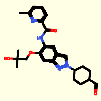 Cc1cccc(C(=O)Nc2cc3cn([C@H]4CC[C@H](C=O)CC4)nc3cc2OCC(C)(C)O)n1